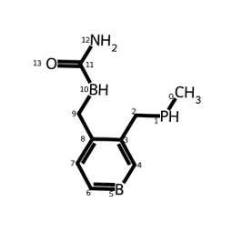 CPCc1cbccc1CBC(N)=O